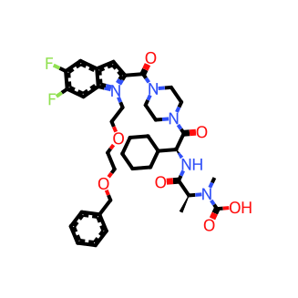 C[C@@H](C(=O)N[C@H](C(=O)N1CCN(C(=O)c2cc3cc(F)c(F)cc3n2CCOCCOCc2ccccc2)CC1)C1CCCCC1)N(C)C(=O)O